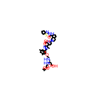 Cc1c(-c2ccc(N3CCc4cccc(C(=O)Nc5nc6ccccc6s5)c4C3)nc2C(=O)O)cnn1CC12CC3(C)CC(C)(C1)CC(OCCNC[C@H](CC(=O)O)NCCC(=O)OC(C)(C)C)(C3)C2